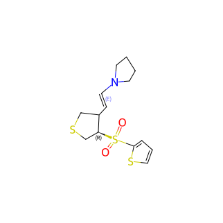 O=S(=O)(c1cccs1)[C@H]1CSCC1/C=C/N1CCCC1